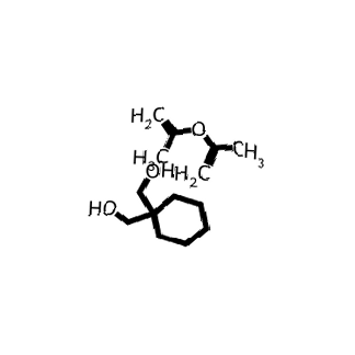 C=C(C)OC(=C)C.OCC1(CO)CCCCC1